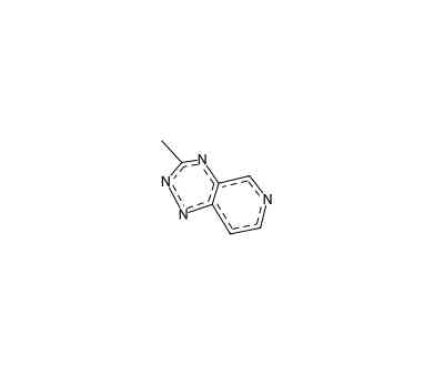 Cc1nnc2ccncc2n1